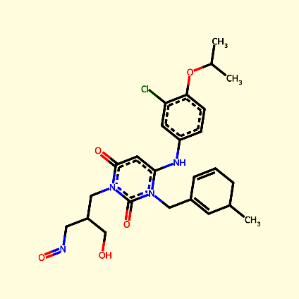 CC1C=C(Cn2c(Nc3ccc(OC(C)C)c(Cl)c3)cc(=O)n(CC(CO)CN=O)c2=O)C=CC1